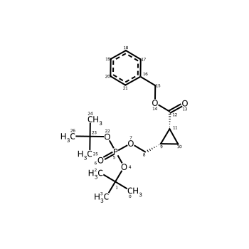 CC(C)(C)OP(=O)(OC[C@H]1C[C@H]1C(=O)OCc1ccccc1)OC(C)(C)C